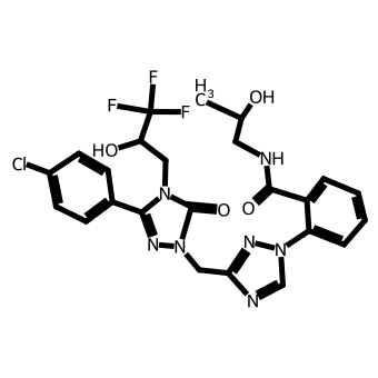 CC(O)CNC(=O)c1ccccc1-n1cnc(Cn2nc(-c3ccc(Cl)cc3)n(CC(O)C(F)(F)F)c2=O)n1